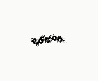 CCc1cnc(N2CCC(Oc3cc(N4CCc5cc(C(=O)N6CCOCC6)ccc54)ncn3)CC2)nc1